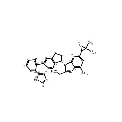 CCc1nc2c(C)cc(C3OC3(C)C)nc2n1[C@H]1CCc2cc(-c3ccccc3-c3nnn[nH]3)ccc21